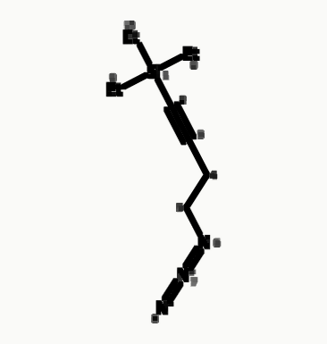 CC[Si](C#CCCN=[N+]=[N-])(CC)CC